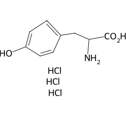 Cl.Cl.Cl.NC(Cc1ccc(O)cc1)C(=O)O